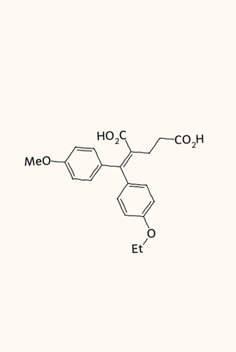 CCOc1ccc(/C(=C(\CCC(=O)O)C(=O)O)c2ccc(OC)cc2)cc1